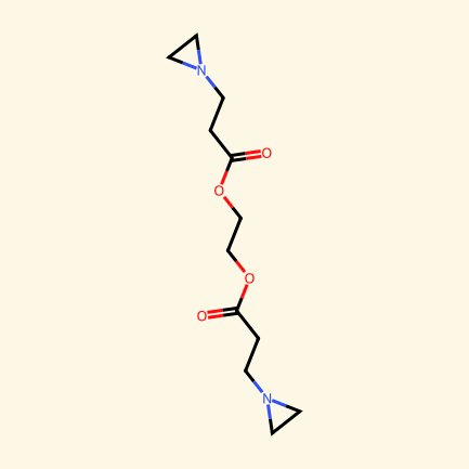 O=C(CCN1CC1)OCCOC(=O)CCN1CC1